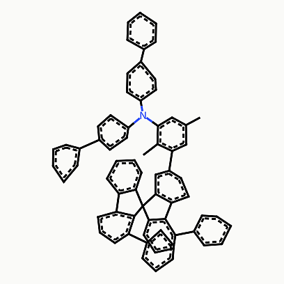 Cc1cc(-c2ccc3c(c2)C2(c4ccccc4-c4cccc(-c5ccccc5)c42)c2cccc(-c4ccccc4)c2-3)c(C)c(N(c2ccc(-c3ccccc3)cc2)c2ccc(-c3ccccc3)cc2)c1